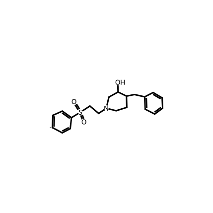 O=S(=O)(CCN1CCC(Cc2ccccc2)C(O)C1)c1cc[c]cc1